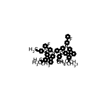 C=Cc1ccc(Oc2ccc(C3(c4ccc(C(C)(C)C)cc4)c4ccccc4-c4ccc(N(c5ccc(-c6ccc(N(c7ccc(-c8ccccc8F)cc7)c7ccc8c(c7)C(c7ccc(Oc9ccc(C=C)cc9)cc7)(c7ccc(C(C)(C)C)cc7)c7ccccc7-8)cc6)cc5)c5ccc(-c6ccccc6F)cc5)cc43)cc2)cc1